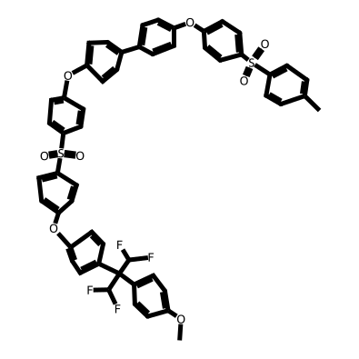 COc1ccc(C(c2ccc(Oc3ccc(S(=O)(=O)c4ccc(Oc5ccc(-c6ccc(Oc7ccc(S(=O)(=O)c8ccc(C)cc8)cc7)cc6)cc5)cc4)cc3)cc2)(C(F)F)C(F)F)cc1